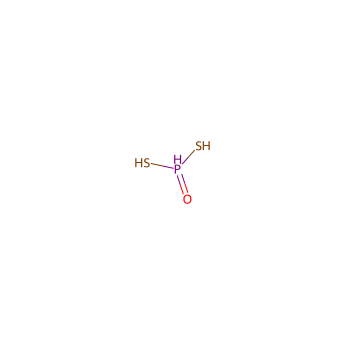 O=[PH](S)S